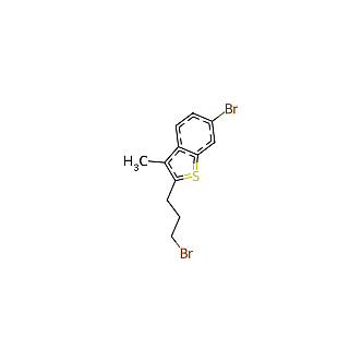 Cc1c(CCCBr)sc2cc(Br)ccc12